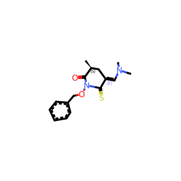 C[C@H]1C/C(=C\N(C)C)C(=S)N(OCc2ccccc2)C1=O